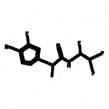 CC(C(=O)NC(F)C(F)F)c1ccc(Br)c(F)c1